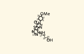 COc1ccc(-n2cnc3c(sc4ncnc(NCCCCO)c43)c2=O)cc1